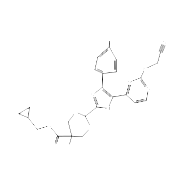 CC1(C(=O)NCC2CC2)COC(c2nc(-c3ccc(F)cc3)c(-c3ccnc(NCC#N)n3)[nH]2)OC1